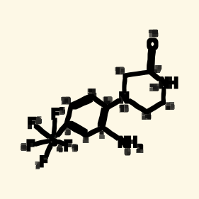 Nc1cc(S(F)(F)(F)(F)F)ccc1N1CCNC(=O)C1